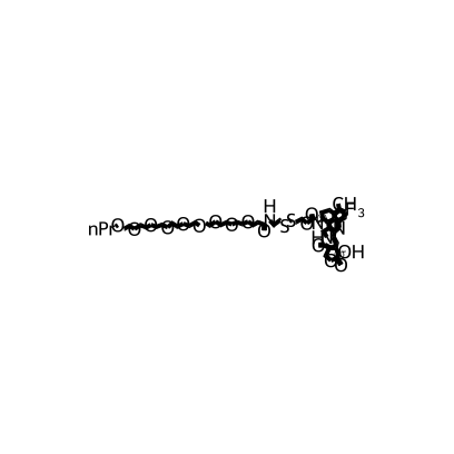 CCCOCCOCCOCCOCCOCCOCCOCCOCCOCCC(=O)NCCSSCCOC(=O)N[C@H]1CCc2c(C)c(F)cc3nc4c(c1c23)Cn1c-4cc2c(c1=O)COC(=O)[C@H]2O